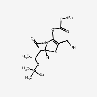 C[C@@H](O[Si](C)(C)C(C)(C)C)[C@@H]1C(=O)N2C(OC(=O)OC(C)(C)C)=C(CO)S[C@H]12